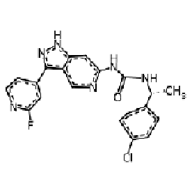 C[C@@H](NC(=O)Nc1cc2[nH]nc(-c3ccnc(F)c3)c2cn1)c1ccc(Cl)cc1